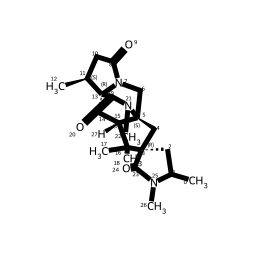 CC1C[C@]2(C[C@@]34CN5C(=O)C[C@H](C)[C@]5(C[C@H]3C2(C)C)C(=O)N4C)C(=O)N1C